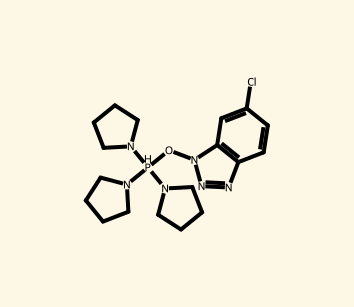 Clc1ccc2nnn(O[PH](N3CCCC3)(N3CCCC3)N3CCCC3)c2c1